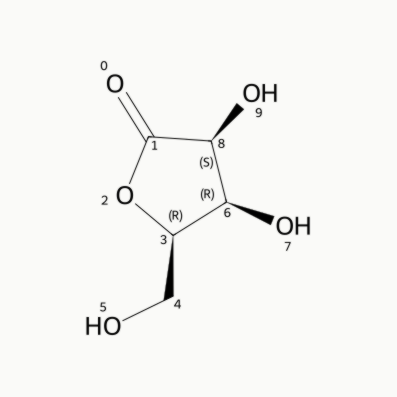 O=C1O[C@H](CO)[C@H](O)[C@@H]1O